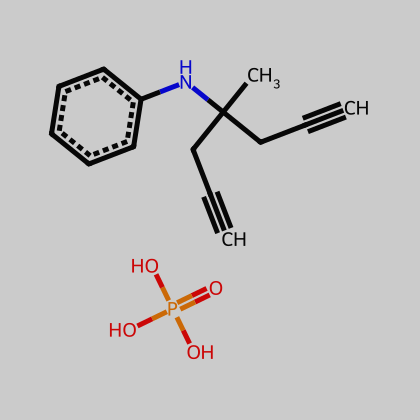 C#CCC(C)(CC#C)Nc1ccccc1.O=P(O)(O)O